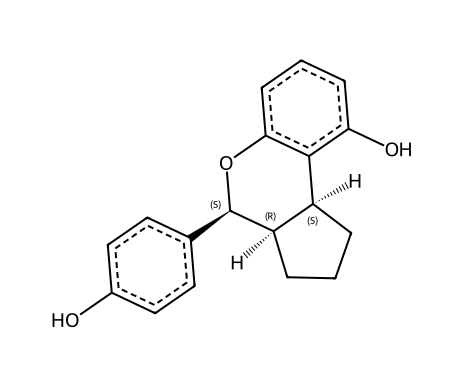 Oc1ccc([C@H]2Oc3cccc(O)c3[C@H]3CCC[C@H]32)cc1